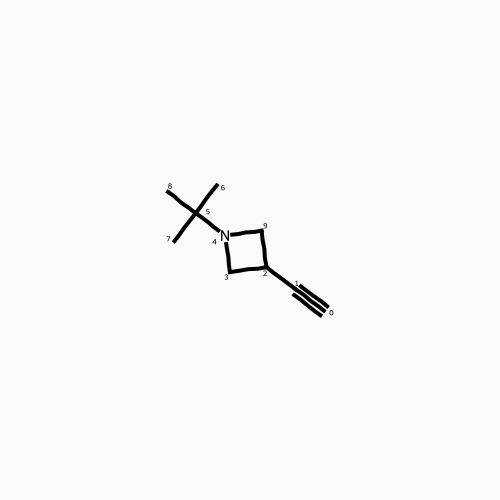 C#CC1CN(C(C)(C)C)C1